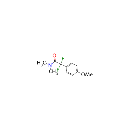 COc1ccc(C(F)(F)C(=O)N(C)C)cc1